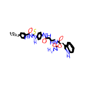 CC(C)(C)c1ccc(C(=O)NC(=S)Nc2ccc(NC(=O)CCCNC(=O)[C@H](Cc3c[nH]c4ccccc34)OC(N)=O)cc2)cc1